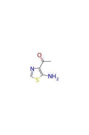 CC(=O)c1ncsc1N